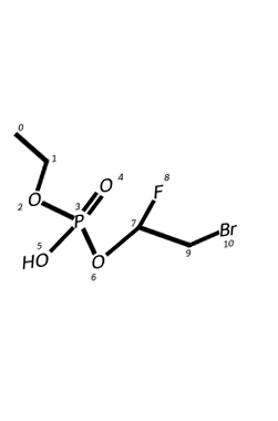 CCOP(=O)(O)OC(F)CBr